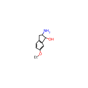 CCOc1ccc2c(c1)C(O)C(N)C2